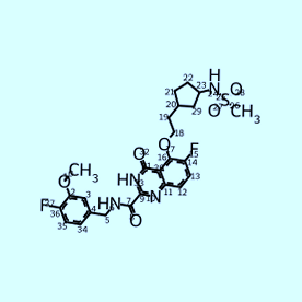 COc1cc(CNC(=O)c2nc3ccc(F)c(OCCC4CCC(NS(C)(=O)=O)C4)c3c(=O)[nH]2)ccc1F